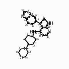 c1nc(NC2CCC(N3CCOCC3)CC2)c2c(-c3ccc4ncnn4c3)c[nH]c2n1